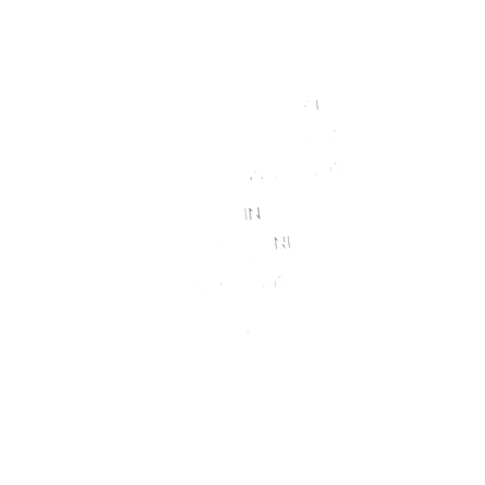 O=c1c2ccccc2c(=O)c2c1ccc1[nH]c3c(ccc4c(=O)c5c(Cl)c(Cl)ccc5c(=O)c43)[nH]c12